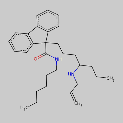 C=CCNC(CCC)CCCC1(C(=O)NCCCCCC)c2ccccc2-c2ccccc21